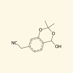 CC1(C)Oc2cc(CC#N)ccc2C(O)O1